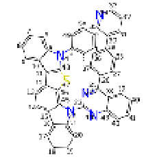 c1ccc(-n2c3ccccc3c3c4ccc5c6ccccc6n(-c6nc(-c7ccc(-c8cccnc8)cc7)c7ccccc7n6)c5c4sc32)cc1